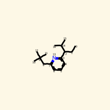 CCC(c1cccc(CC(C)(C)C)n1)C(C)C